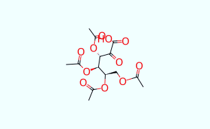 CC(=O)OC[C@@H](OC(C)=O)[C@@H](OC(C)=O)[C@H](OC(C)=O)C(=O)C(=O)O